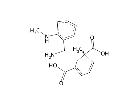 CNc1ccccc1CN.C[C@@]1(C(=O)O)C=CC=C(C(=O)O)C1